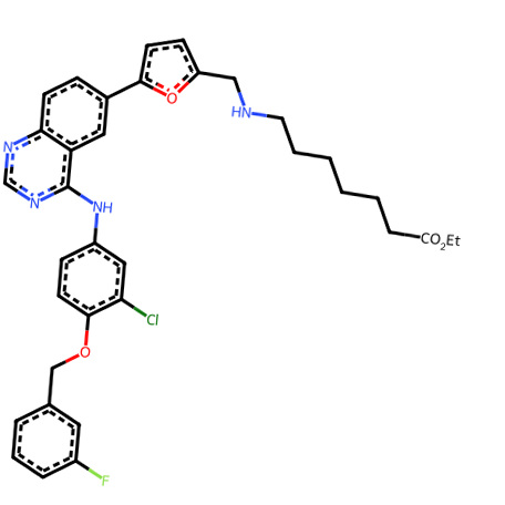 CCOC(=O)CCCCCCNCc1ccc(-c2ccc3ncnc(Nc4ccc(OCc5cccc(F)c5)c(Cl)c4)c3c2)o1